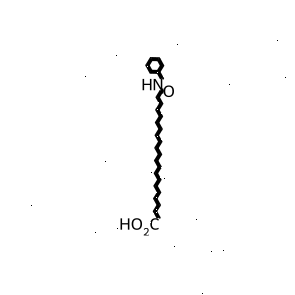 O=C(O)CCCCCCCCCCCCCCCCCCCCC(=O)NCC1CCCCC1